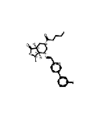 CCCCC(=O)[C@@H]1C[C@H](/C=C/c2ccc(-c3cccc(F)c3)cn2)[C@@H]2[C@@H](C)OC(=O)[C@@H]2C1